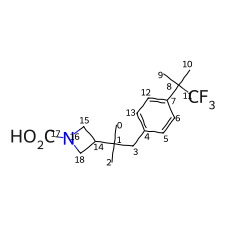 CC(C)(Cc1ccc(C(C)(C)C(F)(F)F)cc1)C1CN(C(=O)O)C1